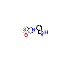 CC1CN(c2cccc3[nH]ncc23)CCN1S(C)(=O)=O